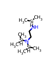 C[SiH](C)NCCN([SiH](C)C)[SiH](C)C